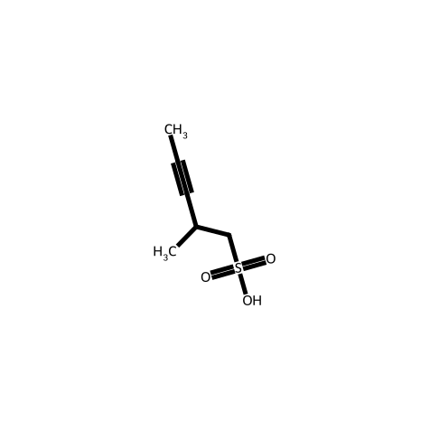 CC#CC(C)CS(=O)(=O)O